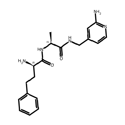 C[C@H](NC(=O)[C@H](N)CCc1ccccc1)C(=O)NCc1ccnc(N)c1